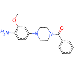 COc1cc(N2CCN(C(=O)c3ccccc3)CC2)ccc1N